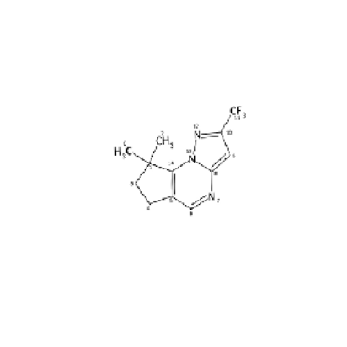 CC1(C)CCc2cnc3cc(C(F)(F)F)nn3c21